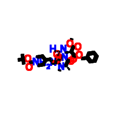 COC(=O)[C@@H](C(=O)OCc1ccccc1)C(N)N(C(=O)CN)C(=O)[C@H](C)N(C)C(=O)CCC1CCN(C(=O)OC(C)(C)C)CC1